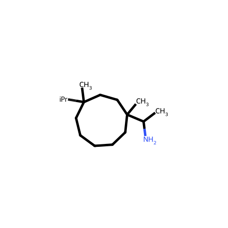 CC(C)C1(C)CCCCCC(C)(C(C)N)CC1